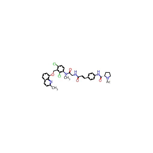 CC(=O)N1CCC[C@H]1C(=O)Nc1ccc(/C=C/C(=O)NCC(=O)N(C)c2ccc(Cl)c(COc3cccc4ccc(C)nc34)c2Cl)cc1